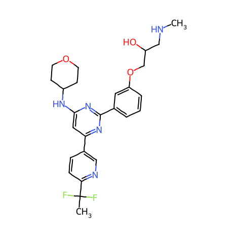 CNCC(O)COc1cccc(-c2nc(NC3CCOCC3)cc(-c3ccc(C(C)(F)F)nc3)n2)c1